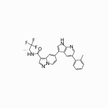 Cc1ccccc1-c1cnc2[nH]cc(-c3ccn4ncc(C(=O)N[C@H](C)C(F)(F)F)c4c3)c2c1